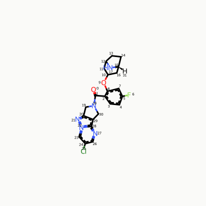 O=C(c1ccc(F)cc1OC1CC2CC[C@H](C1)N2)N1Cc2nn3cc(Cl)cnc3c2C1